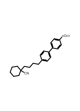 CCCCCCCCc1ccc(-c2ccc(CCCCC3(C#N)CCCCC3)cc2)cc1